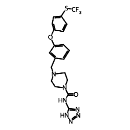 O=C(Nc1nnn[nH]1)N1CCN(Cc2cccc(Oc3ccc(SC(F)(F)F)cc3)c2)CC1